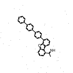 CC(=N)c1cccc2oc3c(-c4ccc(-c5ccc(-c6ccccc6)cc5)cc4)cccc3c12